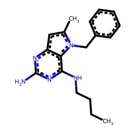 CCCCNc1nc(N)nc2cc(C)n(Cc3ccccc3)c12